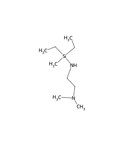 CC[Si](C)(CC)NCCN(C)C